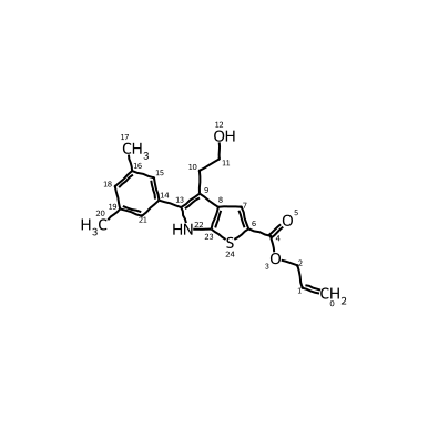 C=CCOC(=O)c1cc2c(CCO)c(-c3cc(C)cc(C)c3)[nH]c2s1